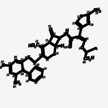 CC(O/N=C(\C(=O)NC1C(=O)N2C(C(=O)O)=C(CSC3=NC(N)=CC(N)N3c3ccccc3)CS[C@@H]12)c1csc(N)n1)C(=O)O